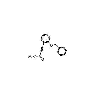 COC(=O)C#Cc1ccccc1OCc1ccccc1